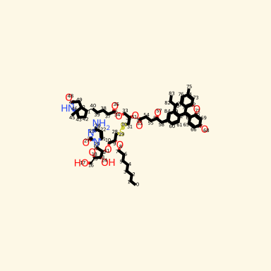 CCCCCCCCOC(CO[C@H]1C(O)[C@@H](CO)O[C@H]1n1ccc(N)nc1=O)CSSCC(COC(=O)CCCC[C@@H]1CCC2(C)NC(=O)CC12)OC(=O)CCC(=O)Cc1ccc(-c2c3ccc(=O)cc-3oc3cc(C)ccc23)c(C(C)CC)c1